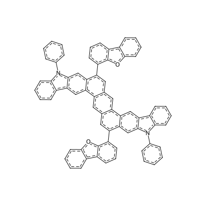 c1ccc(-n2c3ccccc3c3cc4c(cc32)c(-c2cccc3c2oc2ccccc23)cc2cc3c(cc(-c5cccc6c5oc5ccccc56)c5cc6c(cc53)c3ccccc3n6-c3ccccc3)cc24)cc1